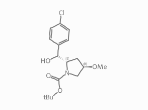 CO[C@@H]1C[C@@H](C(O)c2ccc(Cl)cc2)N(C(=O)OC(C)(C)C)C1